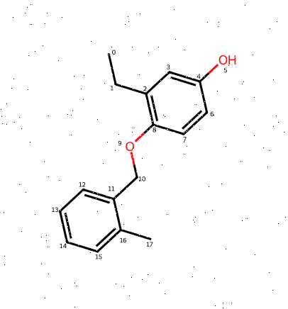 CCc1cc(O)ccc1OCc1ccccc1C